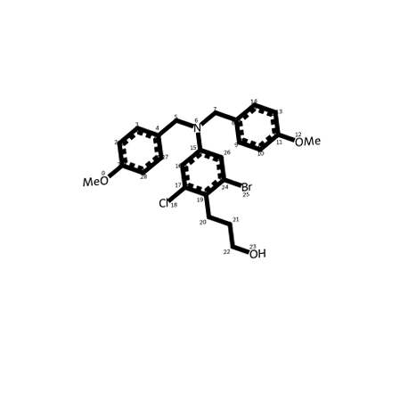 COc1ccc(CN(Cc2ccc(OC)cc2)c2cc(Cl)c(CCCO)c(Br)c2)cc1